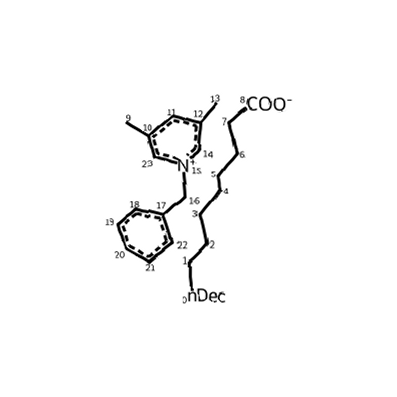 CCCCCCCCCCCCCCCCCC(=O)[O-].Cc1cc(C)c[n+](Cc2ccccc2)c1